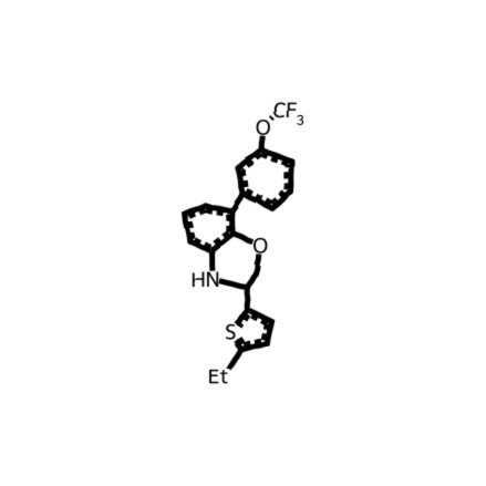 CCc1ccc(C2COc3c(cccc3-c3cccc(OC(F)(F)F)c3)N2)s1